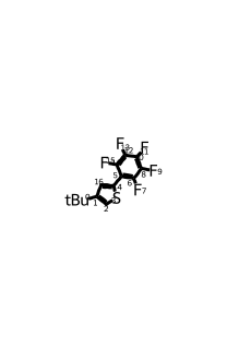 CC(C)(C)c1csc(-c2c(F)c(F)c(F)c(F)c2F)c1